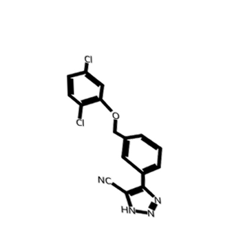 N#Cc1[nH]nnc1-c1cccc(COc2cc(Cl)ccc2Cl)c1